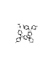 C=C(C)C(=O)Oc1ccc(N(c2ccc(C)cc2)c2ccc(C3(c4ccc(N(c5ccc(C)cc5)c5ccc(C)cc5)cc4)CCCCC3)cc2)cc1